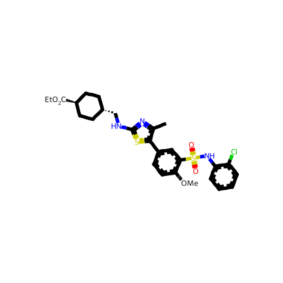 CCOC(=O)[C@H]1CC[C@H](CNc2nc(C)c(-c3ccc(OC)c(S(=O)(=O)Nc4ccccc4Cl)c3)s2)CC1